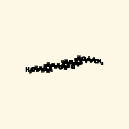 CCCCCOc1ccc(C(=O)Oc2ccc(OCCCC3CCC(CCCCC)CC3)cc2)cc1